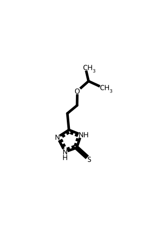 CC(C)OCCc1n[nH]c(=S)[nH]1